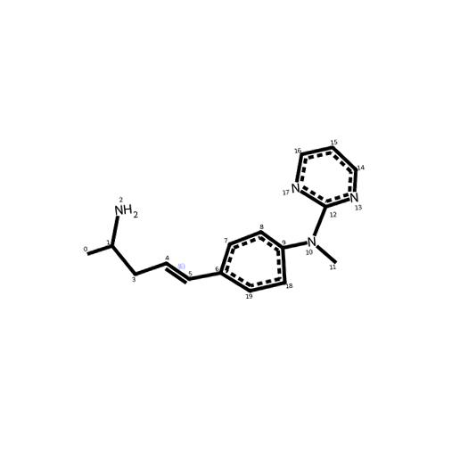 CC(N)C/C=C/c1ccc(N(C)c2ncccn2)cc1